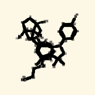 Cc1cc(N2C[C@H]3CC[C@@H](C2)[C@H]3Nc2nc(NCCO)c3c(n2)N(c2ccc(F)cc2)CC3(C)C)ncn1